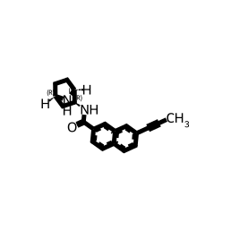 CC#Cc1ccc2ccc(C(=O)N[C@@H]3C[C@H]4CC[C@@H]3N4)cc2c1